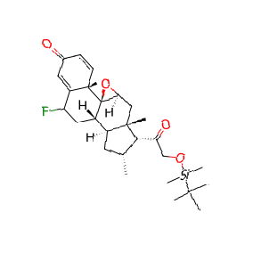 C[C@@H]1C[C@H]2[C@@H]3CC(F)C4=CC(=O)C=C[C@]4(C)[C@@]34O[C@H]4C[C@]2(C)[C@@H]1C(=O)CO[Si](C)(C)C(C)(C)C